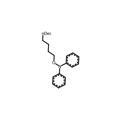 CCCCCCCCCCCCCCON(c1cc[c]cc1)c1ccccc1